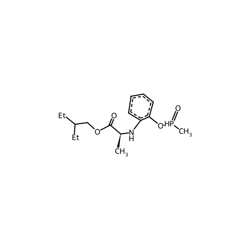 CCC(CC)COC(=O)[C@H](C)Nc1ccccc1O[PH](C)=O